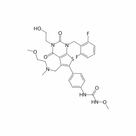 COCCN(C)Cc1c(-c2ccc(NC(=O)NOC)cc2)sc2c1c(=O)n(CCO)c(=O)n2Cc1c(F)cccc1F